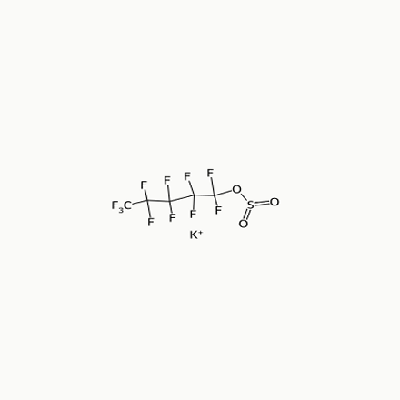 O=[S-](=O)OC(F)(F)C(F)(F)C(F)(F)C(F)(F)C(F)(F)F.[K+]